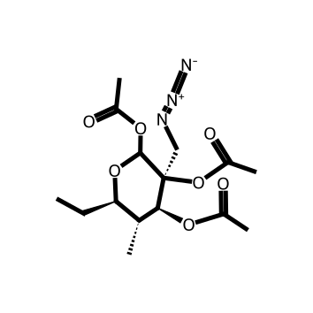 CC[C@H]1OC(OC(C)=O)[C@@](CN=[N+]=[N-])(OC(C)=O)[C@@H](OC(C)=O)[C@@H]1C